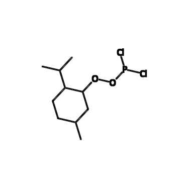 CC1CCC(C(C)C)C(OOP(Cl)Cl)C1